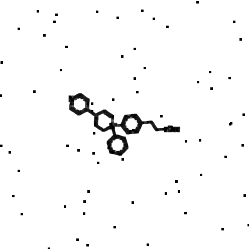 CCCCCCCCCCCCc1ccc([N+]2(c3ccccc3)C=CC(c3ccncc3)=CC2)cc1